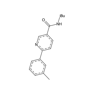 CCC(C)NC(=O)c1ccc(-c2cccc(C)c2)nc1